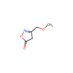 COCC1=NOC(=O)C1